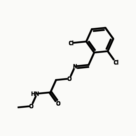 CONC(=O)CON=Cc1c(Cl)cccc1Cl